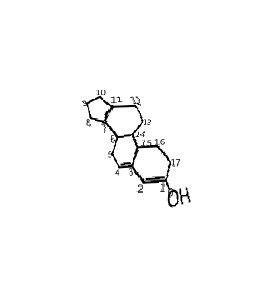 OC1=CC2=CCC3C4CCCC4CCC3C2CC1